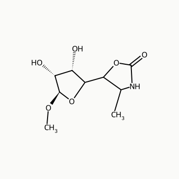 CO[C@@H]1OC(C2OC(=O)NC2C)[C@@H](O)[C@H]1O